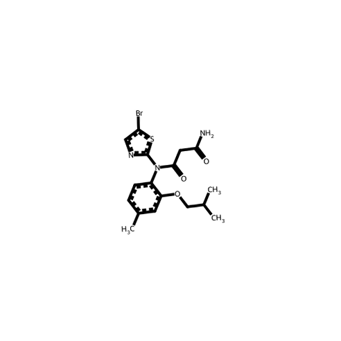 Cc1ccc(N(C(=O)CC(N)=O)c2ncc(Br)s2)c(OCC(C)C)c1